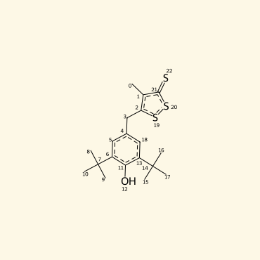 Cc1c(Cc2cc(C(C)(C)C)c(O)c(C(C)(C)C)c2)ssc1=S